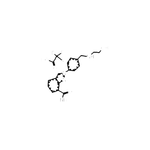 NC(=O)c1cccc2cn(-c3ccc(CNCCO)cc3)nc12.O=C(O)C(F)(F)F